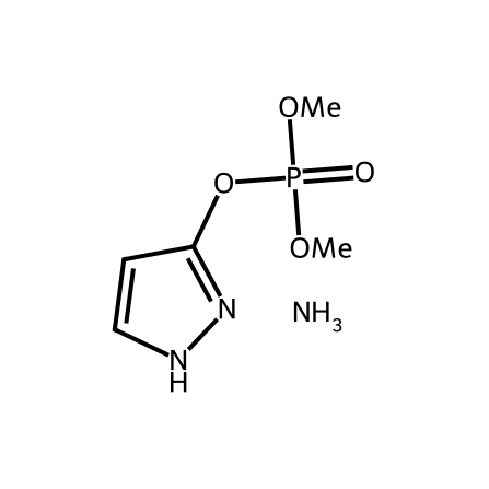 COP(=O)(OC)Oc1cc[nH]n1.N